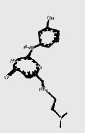 CN(C)CCNCc1cc(=O)[nH]c(Nc2cccc(O)c2)n1